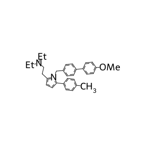 CCN(CC)CCc1ccc(-c2ccc(C)cc2)n1Cc1ccc(-c2ccc(OC)cc2)cc1